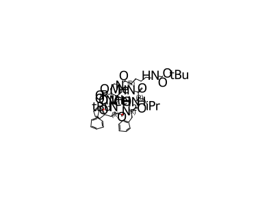 COP(=O)(OC)C1(NC(=O)OCc2ccccc2)CCN(C(=O)[C@@H](CCCCNC(=O)OC(C)(C)C)NC(=O)[C@@H](CC(C)C)NC(=O)[C@@H](Cc2ccccc2)NC(=O)[C@@H](Cc2ccccc2)N(C(=O)O)C(C)(C)C)CC1